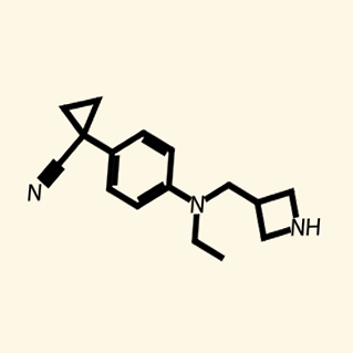 CCN(CC1CNC1)c1ccc(C2(C#N)CC2)cc1